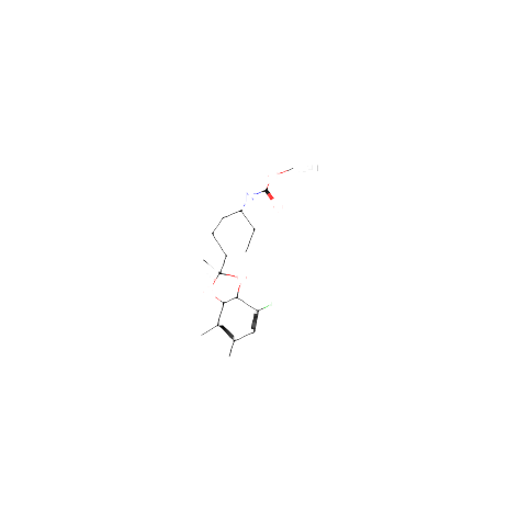 CC1=C(C)C2O[C@](C)([C@H]3CC[C@H](NC(=O)OC(C)(C)C)CC3)OC2C(Cl)=C1